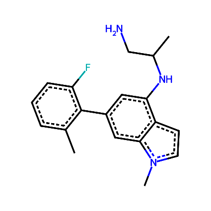 Cc1cccc(F)c1-c1cc(NC(C)CN)c2ccn(C)c2c1